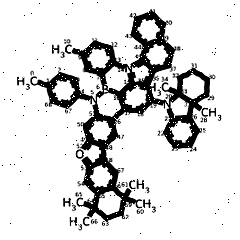 Cc1ccc(N2B3c4cc(C)ccc4-n4c5c3c(cc(N3c6ccccc6C6(C)CCCCC36C)c5c3ccc5ccccc5c34)-c3cc4c(cc32)oc2cc3c(cc24)C(C)(C)CCC3(C)C)cc1